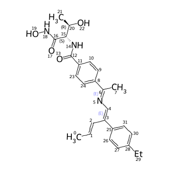 CC=C/C(=C\N=C(/C)c1ccc(C(=O)N[C@H](C(=O)NO)[C@@H](C)O)cc1)c1ccc(CC)cc1